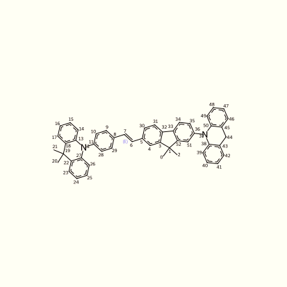 CC1(C)c2cc(/C=C/c3ccc(N4c5ccccc5C(C)(C)c5ccccc54)cc3)ccc2-c2ccc(N3c4ccccc4Cc4ccccc43)cc21